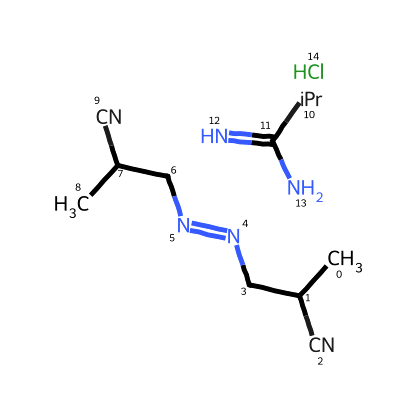 CC(C#N)CN=NCC(C)C#N.CC(C)C(=N)N.Cl